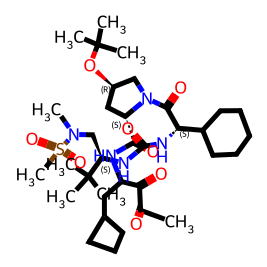 CC(=O)C(=O)C(CC1CCC1)NC(=O)[C@@H]1C[C@@H](OC(C)(C)C)CN1C(=O)[C@@H](NC(=O)N[C@H](CN(C)S(C)(=O)=O)C(C)(C)C)C1CCCCC1